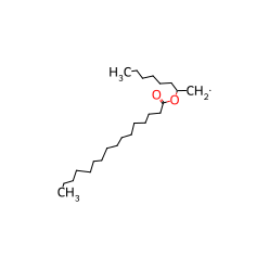 [CH2]C(CCCCCC)OC(=O)CCCCCCCCCCCCCCC